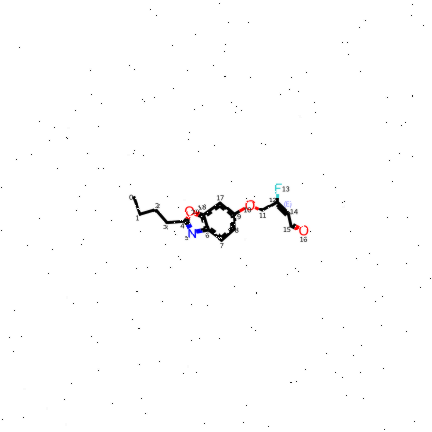 CCCCc1nc2ccc(OC/C(F)=C\C=O)cc2o1